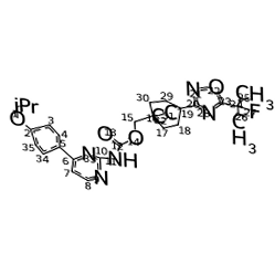 CC(C)Oc1ccc(-c2ccnc(NC(=O)OCC34CCC(c5noc(C(C)(C)F)n5)(CC3)CC4)n2)cc1